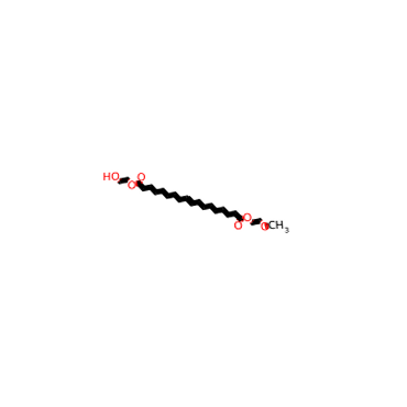 COCCOC(=O)CCCCCCC/C=C/CCCCCCCC(=O)OCCO